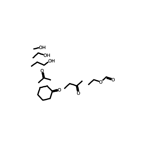 CC(C)=O.CCC(C)=O.CCCO.CCO.CCOC=O.CO.O=C1CCCCC1